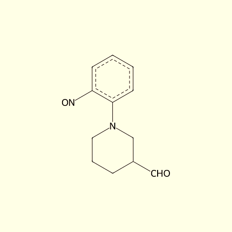 O=CC1CCCN(c2ccccc2N=O)C1